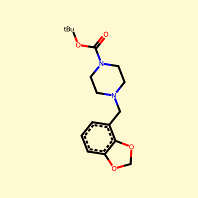 CC(C)(C)OC(=O)N1CCN(Cc2cccc3c2OCO3)CC1